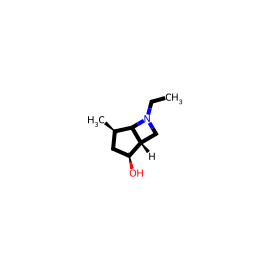 CCN1C[C@H]2C1[C@H](C)C[C@@H]2O